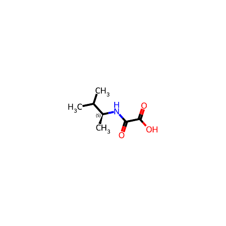 CC(C)[C@H](C)NC(=O)C(=O)O